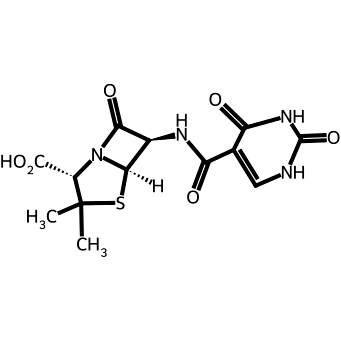 CC1(C)S[C@@H]2[C@H](NC(=O)c3c[nH]c(=O)[nH]c3=O)C(=O)N2[C@H]1C(=O)O